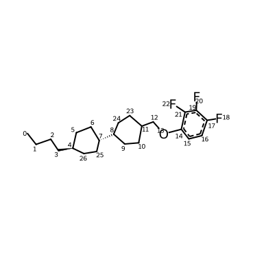 CCCC[C@H]1CC[C@H](C2CCC(COc3ccc(F)c(F)c3F)CC2)CC1